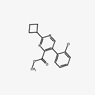 COC(=O)c1nc(C2CCC2)ncc1-c1ccccc1Cl